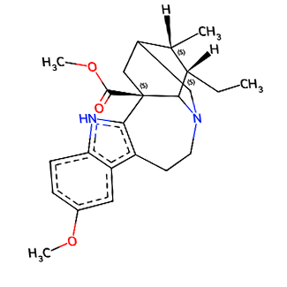 CC[C@@H]1C2N3CCc4c([nH]c5ccc(OC)cc45)[C@]2(C(=O)OC)CC(C3)[C@@H]1C